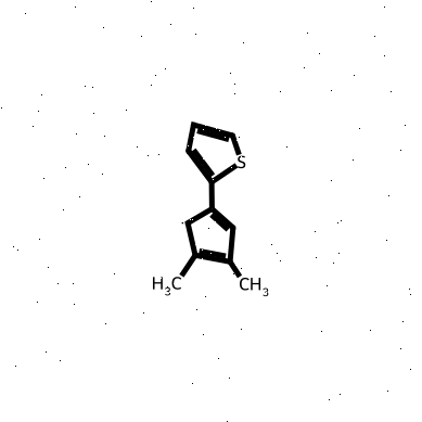 CC1=C(C)C=C(c2cccs2)[CH]1